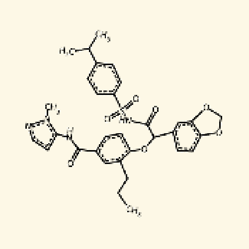 CCCc1cc(C(=O)Nc2ccnn2C)ccc1OC(C(=O)NS(=O)(=O)c1ccc(C(C)C)cc1)c1ccc2c(c1)OCO2